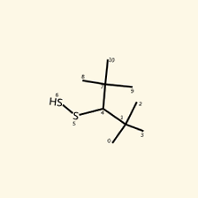 CC(C)(C)C(SS)C(C)(C)C